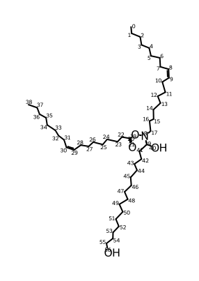 CCCCCCCC/C=C\CCCCCCCCN(OC(=O)CCCCCCC/C=C\CCCCCCCC)C(O)CCCCCCCCCCCCCCCO